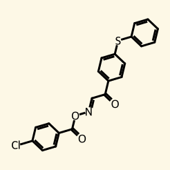 O=C(/C=N/OC(=O)c1ccc(Cl)cc1)c1ccc(Sc2ccccc2)cc1